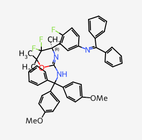 COc1ccc(C(NC2=N[C@](C)(c3cc(N=C(c4ccccc4)c4ccccc4)ccc3F)C(F)(F)C(C)(C)O2)(c2ccccc2)c2ccc(OC)cc2)cc1